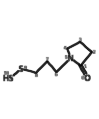 O=C1CCCN1CCCSS